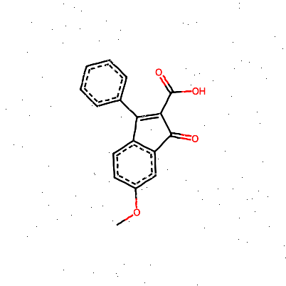 COc1ccc2c(c1)C(=O)C(C(=O)O)=C2c1ccccc1